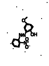 COc1ccc(O)c(/N=N/c2ccccc2[N+](=O)[O-])c1